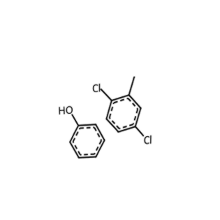 Cc1cc(Cl)ccc1Cl.Oc1ccccc1